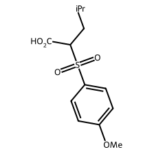 COc1ccc(S(=O)(=O)C(CC(C)C)C(=O)O)cc1